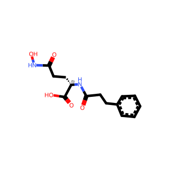 O=C(CC[C@H](NC(=O)CCc1ccccc1)C(=O)O)NO